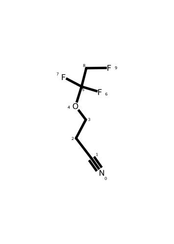 N#CCCOC(F)(F)CF